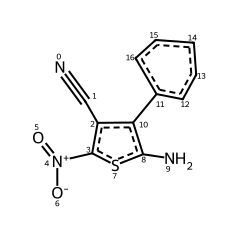 N#Cc1c([N+](=O)[O-])sc(N)c1-c1ccccc1